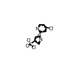 O=S(=O)(Cl)c1cnn(-c2cc(Cl)ccn2)c1